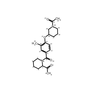 CC(=O)C1CCCCN1C(=O)c1ccc(OC2CCCN(C(C)=O)C2)c(C)c1